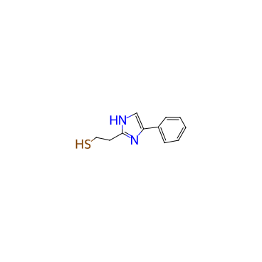 SCCc1nc(-c2ccccc2)c[nH]1